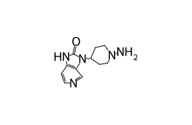 NN1CCC(n2c(=O)[nH]c3ccncc32)CC1